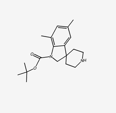 Cc1cc(C)c2c(c1)C1(CCNCC1)CN2C(=O)OC(C)(C)C